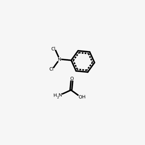 ClN(Cl)c1ccccc1.NC(=O)O